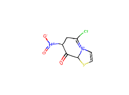 O=C1C([N+](=O)[O-])CC(Cl)=[N+]2C=CSC12